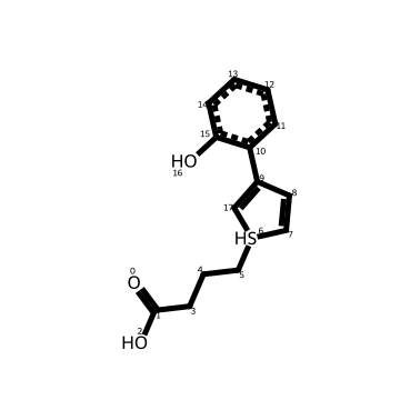 O=C(O)CCC[SH]1C=CC(c2ccccc2O)=C1